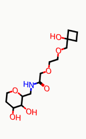 O=C(COCCOCC1(O)CCC1)NCC1OCCC(O)C1O